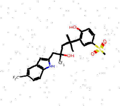 CC(C)(CC(O)(Cc1cc2cc(C(F)(F)F)ccc2[nH]1)C(F)(F)F)c1cc(S(C)(=O)=O)ccc1O